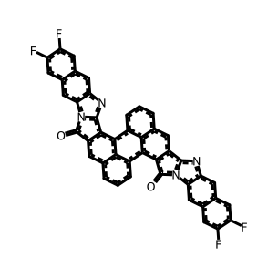 O=c1c2c(cc3cccc4c3c2c2cccc3cc5c(=O)n6c7cc8cc(F)c(F)cc8cc7nc6c5c4c32)c2nc3cc4cc(F)c(F)cc4cc3n12